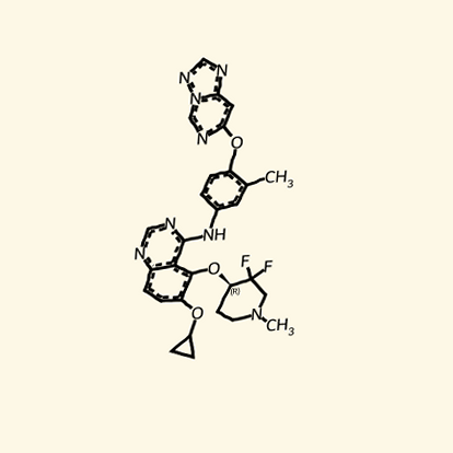 Cc1cc(Nc2ncnc3ccc(OC4CC4)c(O[C@@H]4CCN(C)CC4(F)F)c23)ccc1Oc1cc2ncnn2cn1